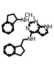 CNC1CCc2ccccc21.c1ccc2c(c1)CCC2CNc1ncnc2[nH]ccc12